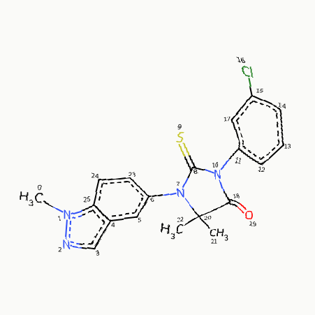 Cn1ncc2cc(N3C(=S)N(c4cccc(Cl)c4)C(=O)C3(C)C)ccc21